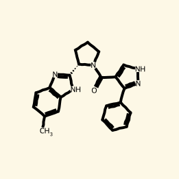 Cc1ccc2nc([C@@H]3CCCN3C(=O)c3c[nH]nc3-c3ccccc3)[nH]c2c1